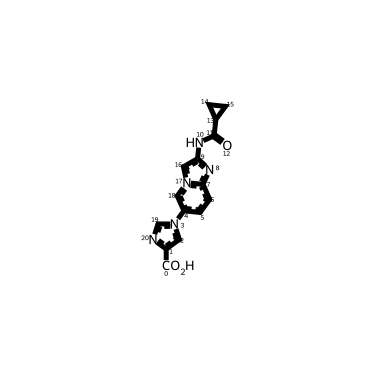 O=C(O)c1cn(-c2ccc3nc(NC(=O)C4CC4)cn3c2)cn1